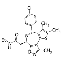 CCNC(=O)C[C@H]1N=C(c2ccc(Cl)cc2)c2c(sc(C)c2C)-c2c(C)noc21